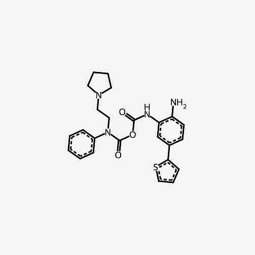 Nc1ccc(-c2cccs2)cc1NC(=O)OC(=O)N(CCN1CCCC1)c1ccccc1